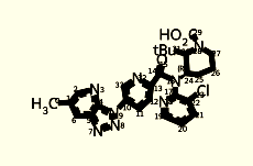 Cc1cnc2c(c1)nnn2-c1ccc(C(=O)N(c2ncccc2Cl)[C@@H]2CCCN(C(=O)O)C2C(C)(C)C)nc1